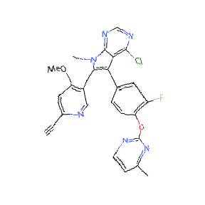 C#Cc1cc(OC)c(-c2c(-c3ccc(Oc4nccc(C)n4)c(F)c3)c3c(Cl)ncnc3n2C)cn1